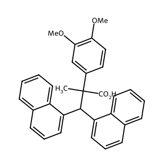 COc1ccc(C(C)(C(=O)O)C(c2cccc3ccccc23)c2cccc3ccccc23)cc1OC